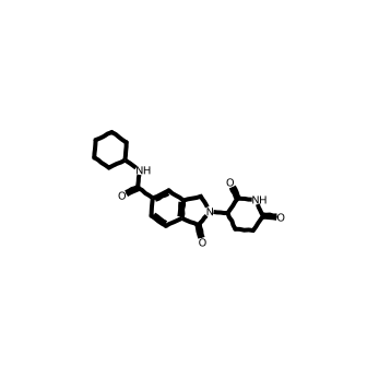 O=C1CCC(N2Cc3cc(C(=O)NC4CCCCC4)ccc3C2=O)C(=O)N1